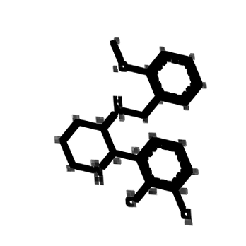 COc1ccccc1CNC1CCCNC1c1cccc(Cl)c1Cl